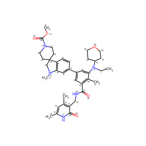 CCN(c1cc(-c2ccc3c(c2)N(C)CC32CCN(C(=O)OC)CC2)cc(C(=O)NCc2c(C)cc(C)[nH]c2=O)c1C)C1CCOCC1